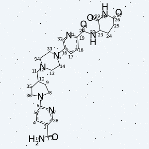 NC(=O)c1ccc(N2CCC(CN3CCN(c4ccc(C(=O)NC5CCC(=O)NC5=O)nc4)CC3)CC2)nc1